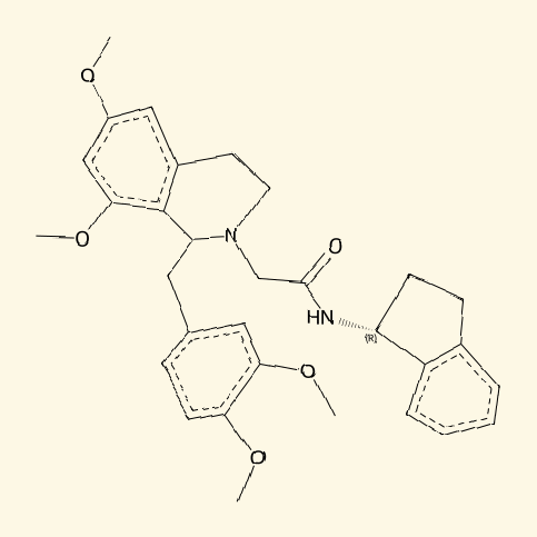 COc1cc2c(c(OC)c1)C(Cc1ccc(OC)c(OC)c1)N(CC(=O)N[C@@H]1CCc3ccccc31)CC2